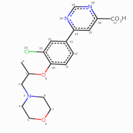 CC(CN1CCOCC1)Oc1ccc(-c2cc(C(=O)O)ncn2)cc1Cl